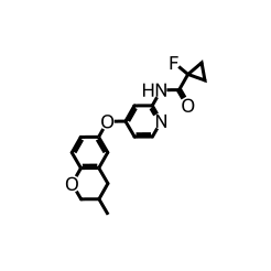 CC1COc2ccc(Oc3ccnc(NC(=O)C4(F)CC4)c3)cc2C1